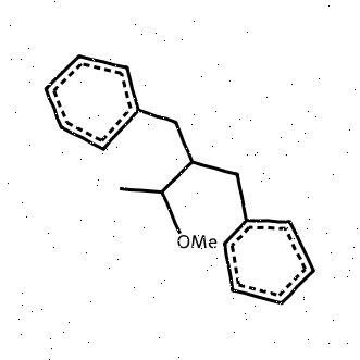 COC(C)C(Cc1ccccc1)Cc1ccccc1